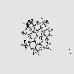 N#Cc1ccc(-n2c3c(-c4ccc(C(F)(F)F)cc4C(F)(F)F)cccc3c3cccc(-c4ccc(C(F)(F)F)cc4C(F)(F)F)c32)cc1-c1ccncc1